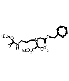 CCOC(=O)C(C)N(CCCNC(=O)OC(C)(C)C)CC(=O)OCc1ccccc1